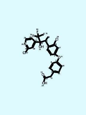 CC(c1ccc(Oc2ccc(CC(=O)O)cc2)cc1Cl)C(O)(c1ccnc(Cl)c1)C(F)(F)F